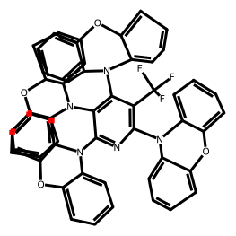 FC(F)(F)c1c(N2c3ccccc3Oc3ccccc32)nc(N2c3ccccc3Oc3ccccc32)c(N2c3ccccc3Oc3ccccc32)c1N1c2ccccc2Oc2ccccc21